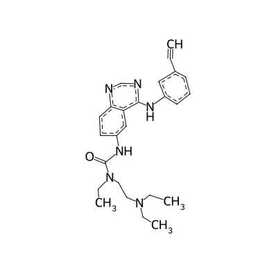 C#Cc1cccc(Nc2ncnc3ccc(NC(=O)N(CC)CCN(CC)CC)cc23)c1